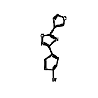 Brc1ccc(-c2noc(-c3ccoc3)n2)cc1